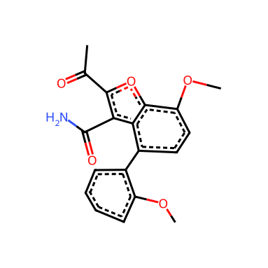 COc1ccccc1-c1ccc(OC)c2oc(C(C)=O)c(C(N)=O)c12